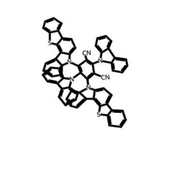 N#Cc1c(-n2c3ccccc3c3ccccc32)c(C#N)c(-n2c3ccccc3c3c4sc5ccccc5c4ccc32)c(-n2c3ccccc3c3ccccc32)c1-n1c2ccccc2c2c3sc4ccccc4c3ccc21